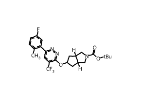 Cc1ccc(F)cc1-c1cc(C(F)(F)F)c(OC2C[C@@H]3CN(C(=O)OC(C)(C)C)C[C@@H]3C2)nn1